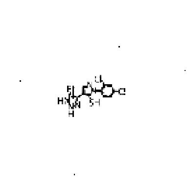 CCN1NNN=C1c1cnn(-c2ccc(Cl)cc2Cl)c1S